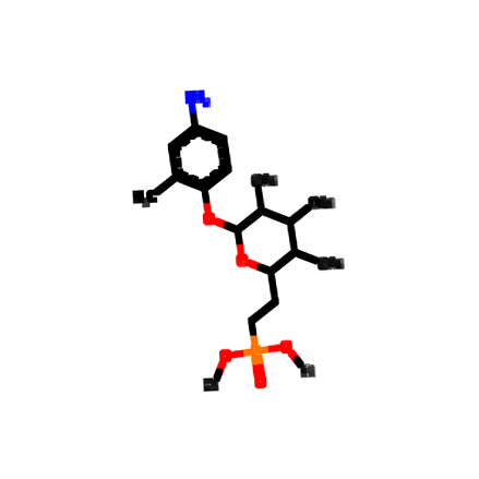 CCOP(=O)(CCC1OC(Oc2ccc(N)cc2C)C(OC(C)=O)C(OC(C)=O)C1OC(C)=O)OCC